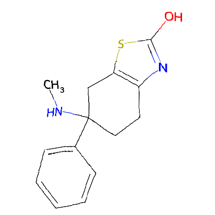 CNC1(c2ccccc2)CCc2nc(O)sc2C1